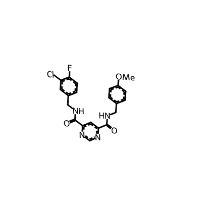 COc1ccc(CNC(=O)c2cc(C(=O)NCc3ccc(F)c(Cl)c3)ncn2)cc1